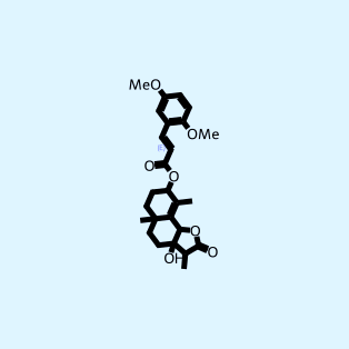 COc1ccc(OC)c(/C=C/C(=O)OC2CCC3(C)CCC4(O)C(C)C(=O)OC4C3=C2C)c1